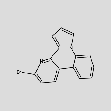 Brc1ccc2c3ccccc3n3cccc3c2n1